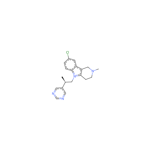 C[C@@H](Cn1c2c(c3cc(Cl)ccc31)CN(C)CC2)c1cncnc1